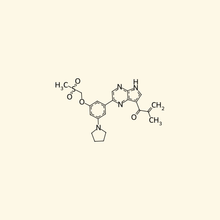 C=C(C)C(=O)c1c[nH]c2ncc(-c3cc(OCS(C)(=O)=O)cc(N4CCCC4)c3)nc12